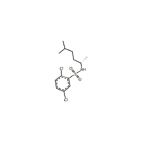 CC(C)CC[C@H](C)NS(=O)(=O)c1cc(Cl)ccc1Cl